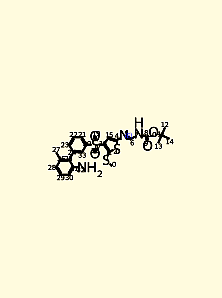 CSc1sc(/N=C/NC(=O)OC(C)(C)C)cc1S(=O)(=O)c1cccc(-c2c(C)cccc2N)c1